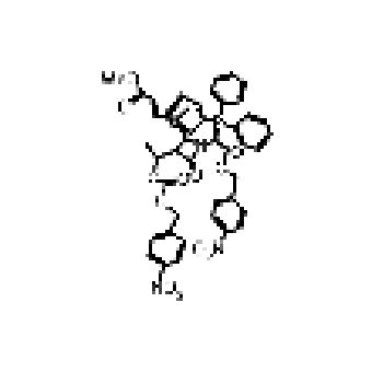 COC(=O)/C=C/C(C)C1C(C(C)OC(=O)OCc2ccc([N+](=O)[O-])cc2)C(=O)N1C(C(=O)OCc1ccc([N+](=O)[O-])cc1)=P(c1ccccc1)(c1ccccc1)c1ccccc1